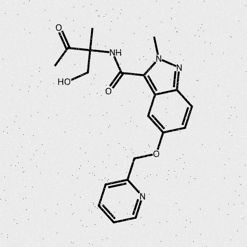 CC(=O)C(C)(CO)NC(=O)c1c2cc(OCc3ccccn3)ccc2nn1C